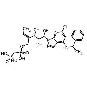 C/C=C(/COP(=O)(O)CP(=O)(O)O)[C@@H](O)[C@@H](O)[C@@H](O)n1ncc2c(N[C@H](C)c3ccccc3)cc(Cl)nc21